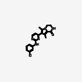 Cc1c(-c2ccnc(Nc3cccc(Cl)c3)n2)c(C)n2c1C(=O)NCC2